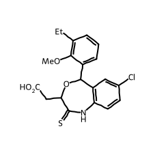 CCc1cccc(C2OC(CC(=O)O)C(=S)Nc3ccc(Cl)cc32)c1OC